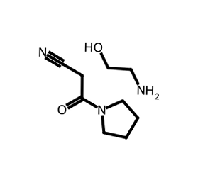 N#CCC(=O)N1CCCC1.NCCO